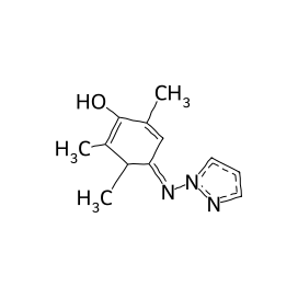 CC1=CC(=Nn2cccn2)C(C)C(C)=C1O